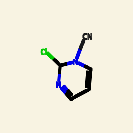 N#CN1C=CC=NC1Cl